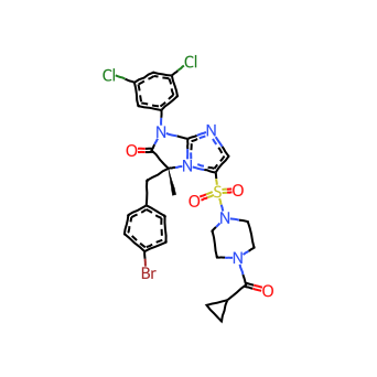 C[C@@]1(Cc2ccc(Br)cc2)C(=O)N(c2cc(Cl)cc(Cl)c2)c2ncc(S(=O)(=O)N3CCN(C(=O)C4CC4)CC3)n21